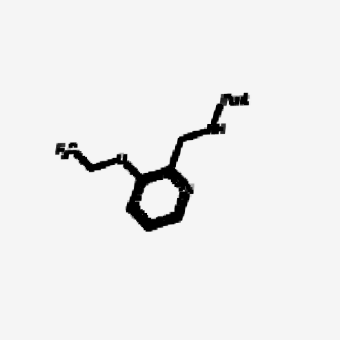 CCCC(C)NCc1ncccc1OCC(F)(F)F